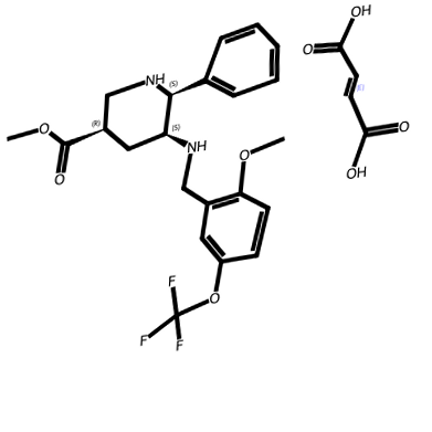 COC(=O)[C@H]1CN[C@@H](c2ccccc2)[C@@H](NCc2cc(OC(F)(F)F)ccc2OC)C1.O=C(O)/C=C/C(=O)O